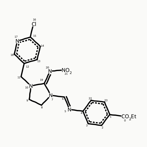 CCOC(=O)c1ccc(N=CN2CCN(Cc3ccc(Cl)nc3)C2=N[N+](=O)[O-])cc1